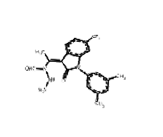 C/C(=C1/C(=O)N(c2cc(C)cc(C)c2)c2cc(C(F)(F)F)ccc21)N(C=O)NN